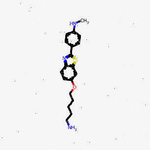 CNc1ccc(-c2nc3ccc(OCCCCCN)cc3s2)cc1